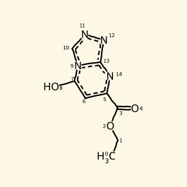 CCOC(=O)c1cc(O)n2cnnc2n1